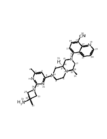 Cc1cc(N2CCN3[C@@H](C2)CN(c2ccc(C#N)c4ncccc24)C[C@H]3C)nc(N2CC(C)(N)C2)n1